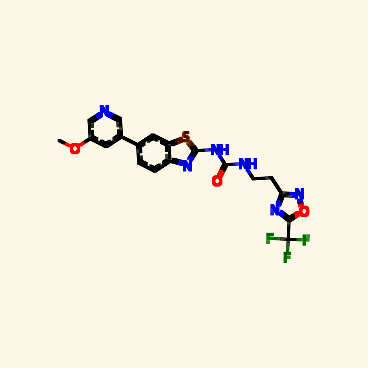 COc1cncc(-c2ccc3nc(NC(=O)NCCc4noc(C(F)(F)F)n4)sc3c2)c1